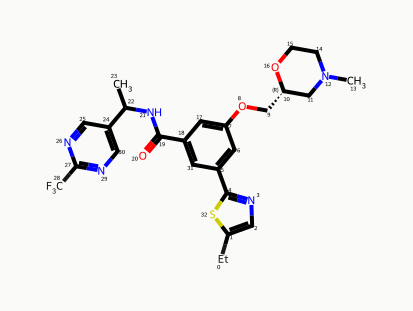 CCc1cnc(-c2cc(OC[C@H]3CN(C)CCO3)cc(C(=O)NC(C)c3cnc(C(F)(F)F)nc3)c2)s1